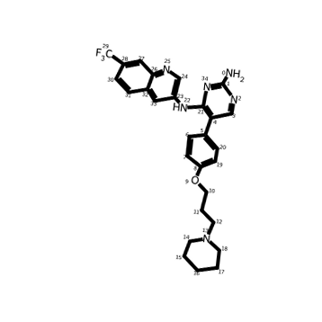 Nc1ncc(-c2ccc(OCCCN3CCCCC3)cc2)c(Nc2cnc3cc(C(F)(F)F)ccc3c2)n1